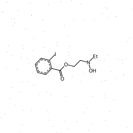 CCN(O)CCOC(=O)c1ccccc1I